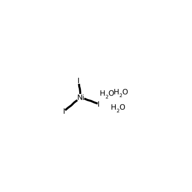 O.O.O.[I][Ni]([I])[I]